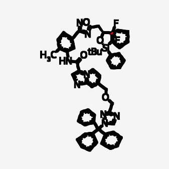 Cc1ccc(-c2noc(C[C@H](O[Si](c3ccccc3)(c3ccccc3)C(C)(C)C)C(F)F)n2)cc1NC(=O)c1cnc2cc(COCc3ncn(C(c4ccccc4)(c4ccccc4)c4ccccc4)n3)ccn12